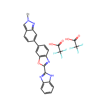 CCn1cc2ccc(-c3ccc4nc(-c5nc6ccccc6[nH]5)oc4c3)cc2n1.O=C(O)C(F)(F)F.O=C(O)C(F)(F)F